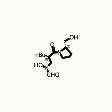 CCCC[C@H](CN(O)C=O)C(=O)N1CCC[C@H]1CO